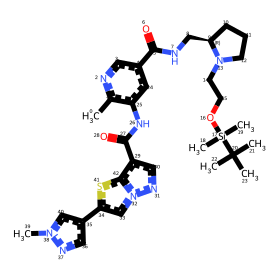 Cc1ncc(C(=O)NC[C@H]2CCCN2CCO[Si](C)(C)C(C)(C)C)cc1NC(=O)c1cnn2cc(-c3cnn(C)c3)sc12